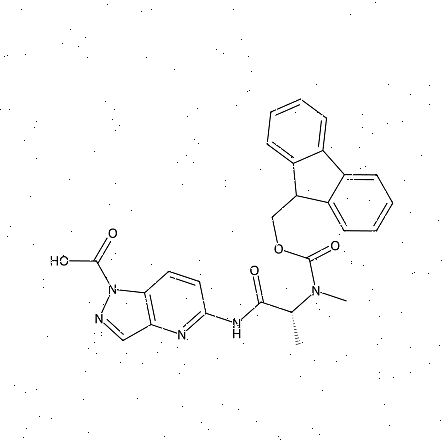 C[C@H](C(=O)Nc1ccc2c(cnn2C(=O)O)n1)N(C)C(=O)OCC1c2ccccc2-c2ccccc21